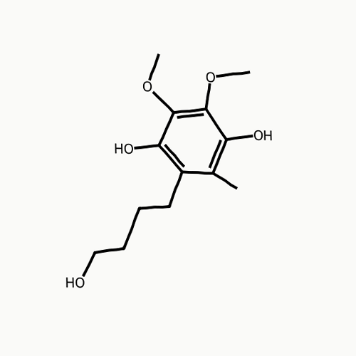 COc1c(O)c(C)c(CCCCO)c(O)c1OC